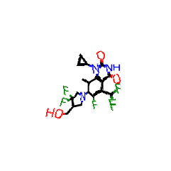 CC1c2c(c(=O)[nH]c(=O)n2C2CC2)C(C(F)F)=C(F)C1N1CC(CO)C(F)(F)C1